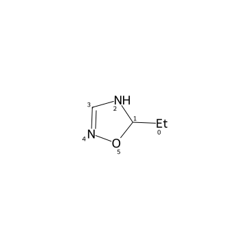 CCC1NC=NO1